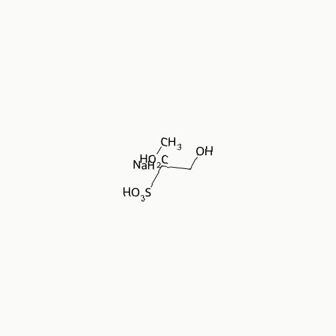 CC(=O)O.O=S(=O)(O)CCO.[NaH]